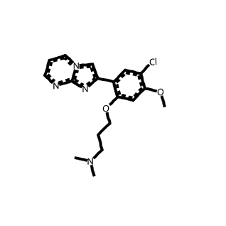 COc1cc(OCCCN(C)C)c(-c2cn3cccnc3n2)cc1Cl